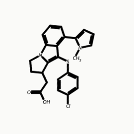 Cn1cccc1-c1cccc2c1c(Sc1ccc(Cl)cc1)c1n2CCC1CC(=O)O